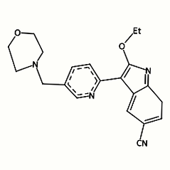 CCOC1=C(c2ccc(CN3CCOCC3)cn2)C2=CC(C#N)=CCC2=N1